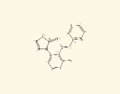 Cc1cccc(-n2nn[nH]c2=O)c1OCc1ccccc1